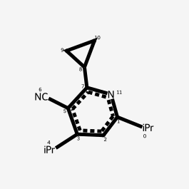 CC(C)c1cc(C(C)C)c(C#N)c(C2CC2)n1